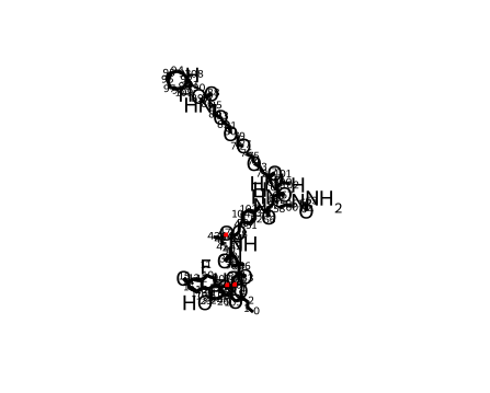 CCCC1O[C@@H]2CC3[C@@H]4C[C@H](F)C5=CC(=O)C=C[C@]5(C)[C@@]4(F)[C@@H](O)C[C@]3(C)[C@]2(C(=O)COC(=O)C(C)(C)NC(=O)[C@H](CC(C)C)NC(=O)OCc2ccc(NC(=O)[C@H](CCCNC(N)=O)NC(=O)[C@@H](NC(=O)CCOCCOCCOCCOCCNC(=O)OC[C@@H]3[C@@H]4CCC#CCC[C@@H]43)C(C)C)cc2)O1